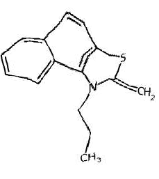 C=C1Sc2ccc3ccccc3c2N1CCC